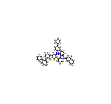 c1ccc(-c2ccc3c(c2)c2ccc4c(c5ccccc5n4-c4ccc5ccccc5c4)c2n3-c2ccc3sc4c(-c5cccc6sc7ccccc7c56)cccc4c3c2)cc1